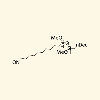 CCCCCCCCCCC[SiH](OC)O[SiH](CCCCCCCCCCN=O)OC